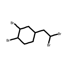 BrC(Br)CC1CCC(Br)C(Br)C1